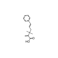 C=C(C(=O)O)C(C)(C)CC=Cc1ccccc1